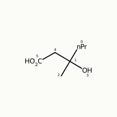 CCCC(C)(O)CC(=O)O